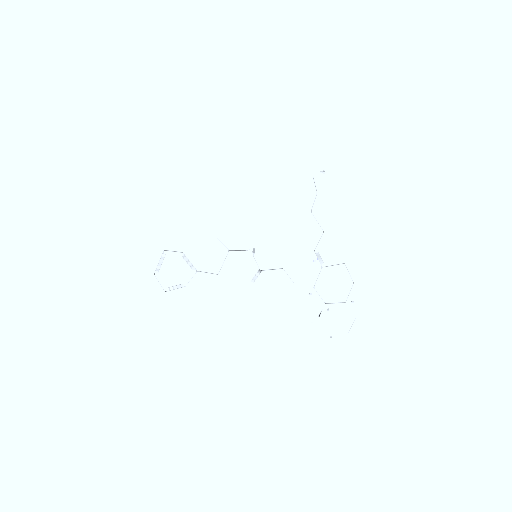 CCCCCCCCCCCCC/C=C1\CC[C@H](CC(=O)O)[C@@H](O)[C@@H]1SCC(=O)NC(Cc1ccccc1)C(=O)O